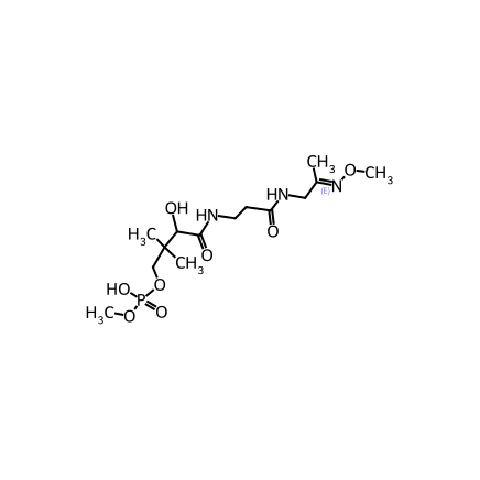 CO/N=C(\C)CNC(=O)CCNC(=O)C(O)C(C)(C)COP(=O)(O)OC